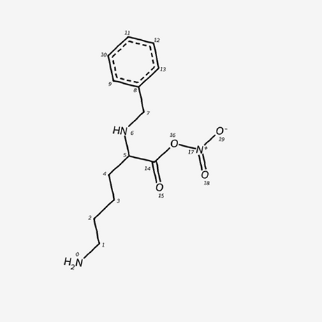 NCCCCC(NCc1ccccc1)C(=O)O[N+](=O)[O-]